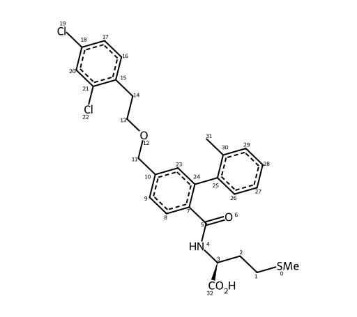 CSCC[C@H](NC(=O)c1ccc(COCCc2ccc(Cl)cc2Cl)cc1-c1ccccc1C)C(=O)O